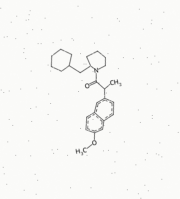 COc1ccc2cc(C(C)C(=O)N3CCCCC3CC3CCCCC3)ccc2c1